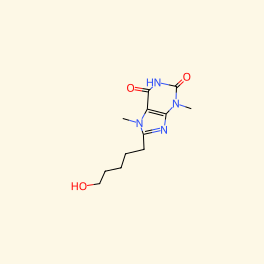 Cn1c(CCCCCO)nc2c1c(=O)[nH]c(=O)n2C